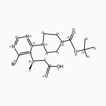 C[C@H](CC(=O)O)c1c(Br)ncnc1N1CCN(C(=O)OC(C)(C)C)CC1